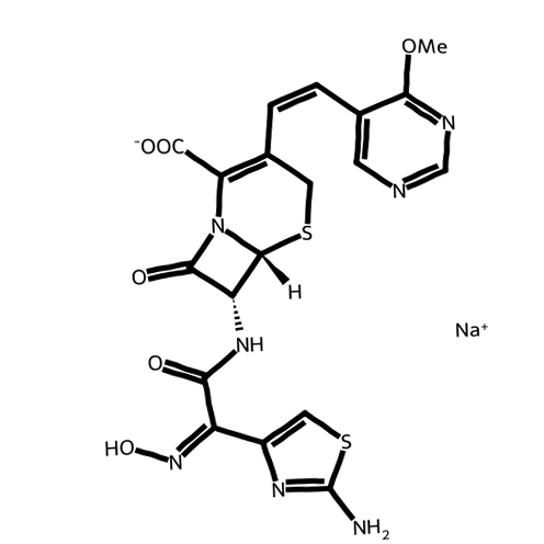 COc1ncncc1/C=C\C1=C(C(=O)[O-])N2C(=O)[C@@H](NC(=O)/C(=N\O)c3csc(N)n3)[C@H]2SC1.[Na+]